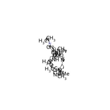 CCn1c(-c2cccnc2[C@H](C)OC)c2c3cc(ccc31)-c1csc(n1)C[C@H](NC(=O)[C@H](C(C)C)N(C)C(=O)N1CCN(C(=O)/C=C/CN(C)C)C[C@@H]1C)C(=O)N1CCC[C@@]([SiH3])(N1)C(=O)OCC(C)(C)C2